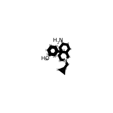 N[C@@H]1CCC2CN(CC3CC3)CCC2(c2cccc(O)c2)C1